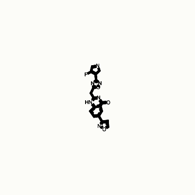 O=c1nc(Cc2nc(C3=C(F)C=NC3)no2)[nH]c2ccc(-c3ccon3)cc12